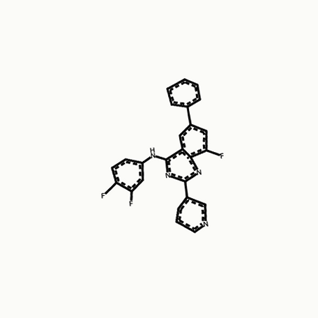 Fc1ccc(Nc2nc(-c3cccnc3)nc3c(F)cc(-c4ccccc4)cc23)cc1F